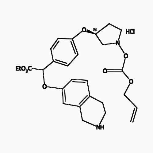 C=CCOC(=O)ON1CC[C@H](Oc2ccc(C(Oc3ccc4c(c3)CNCC4)C(=O)OCC)cc2)C1.Cl